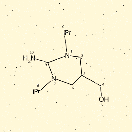 CC(C)N1CC(CO)CN(C(C)C)C1N